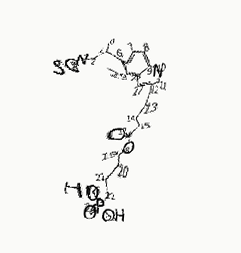 CC(CN=C=S)c1ccc2ncc(CCCC(=O)OCCCCP(=O)(O)O)cc2c1